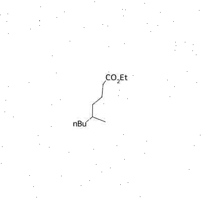 CCCCC(C)CCCC(=O)OCC